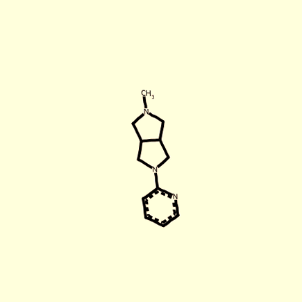 CN1CC2CN(c3ccccn3)CC2C1